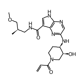 C=CC(=O)N1CC[C@@H](Nc2cnc3[nH]cc(C(=O)NC[C@@H](C)COC)c3n2)[C@@H](O)C1